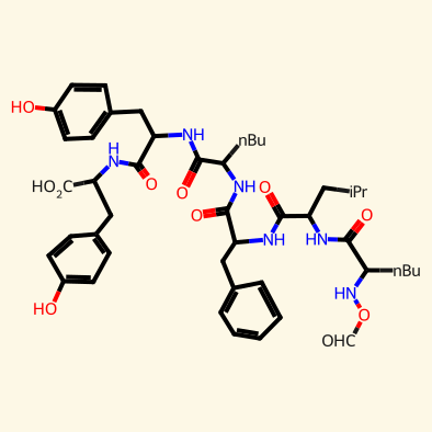 CCCCC(NOC=O)C(=O)NC(CC(C)C)C(=O)NC(Cc1ccccc1)C(=O)NC(CCCC)C(=O)NC(Cc1ccc(O)cc1)C(=O)NC(Cc1ccc(O)cc1)C(=O)O